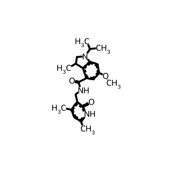 COc1cc(C(=O)NCc2c(C)cc(C)[nH]c2=O)c2c(c1)N(C(C)C)CC2C